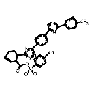 CC(C)c1ccc(S(=O)(=O)OC(=O)C2C=CC=CC2c2nc(-c3ccc(-c4csc(-c5ccc(C(F)(F)F)cc5)n4)cc3)no2)cc1